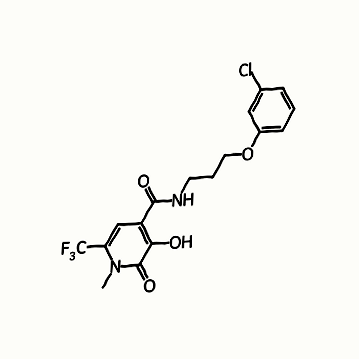 Cn1c(C(F)(F)F)cc(C(=O)NCCCOc2cccc(Cl)c2)c(O)c1=O